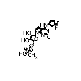 CP(=O)(O)OOC[C@H]1O[C@@H](n2ccc3c(NC4CCC(F)(F)C4)nc(Cl)nc32)[C@H](O)[C@@H]1O